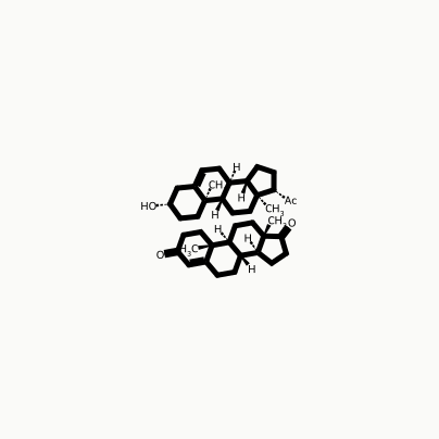 CC(=O)[C@H]1CC[C@H]2[C@@H]3CC=C4C[C@@H](O)CC[C@]4(C)[C@H]3CC[C@]12C.C[C@]12CCC(=O)C=C1CC[C@@H]1[C@@H]2CC[C@]2(C)C(=O)CC[C@@H]12